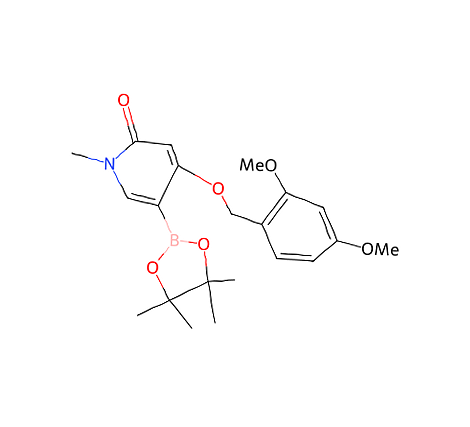 COc1ccc(COc2cc(=O)n(C)cc2B2OC(C)(C)C(C)(C)O2)c(OC)c1